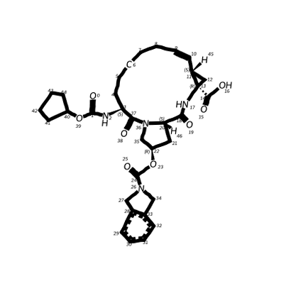 O=C(N[C@H]1CCCCCC=C[C@@H]2C[C@@]2(C(=O)O)NC(=O)[C@@H]2C[C@@H](OC(=O)N3Cc4ccccc4C3)CN2C1=O)OC1CCCC1